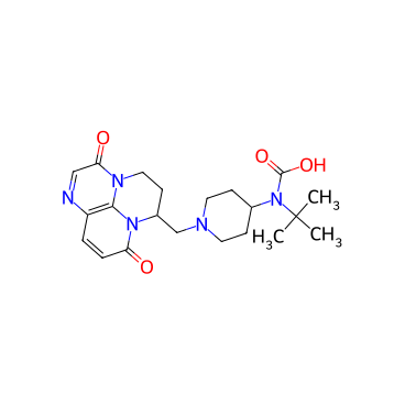 CC(C)(C)N(C(=O)O)C1CCN(CC2CCn3c(=O)cnc4ccc(=O)n2c43)CC1